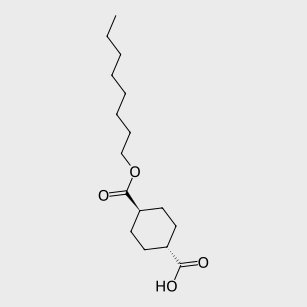 CCCCCCCCOC(=O)[C@H]1CC[C@H](C(=O)O)CC1